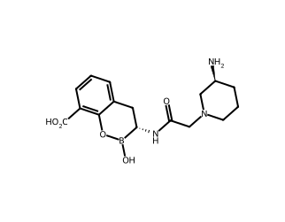 N[C@H]1CCCN(CC(=O)N[C@H]2Cc3cccc(C(=O)O)c3OB2O)C1